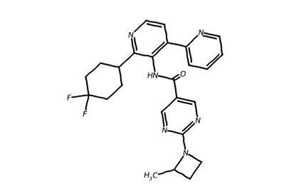 CC1CCN1c1ncc(C(=O)Nc2c(-c3ccccn3)ccnc2C2CCC(F)(F)CC2)cn1